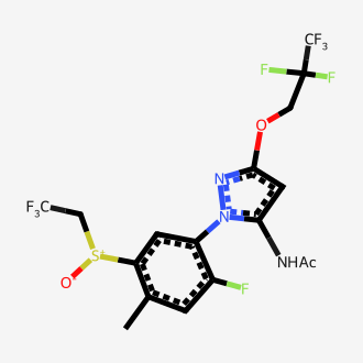 CC(=O)Nc1cc(OCC(F)(F)C(F)(F)F)nn1-c1cc([S+]([O-])CC(F)(F)F)c(C)cc1F